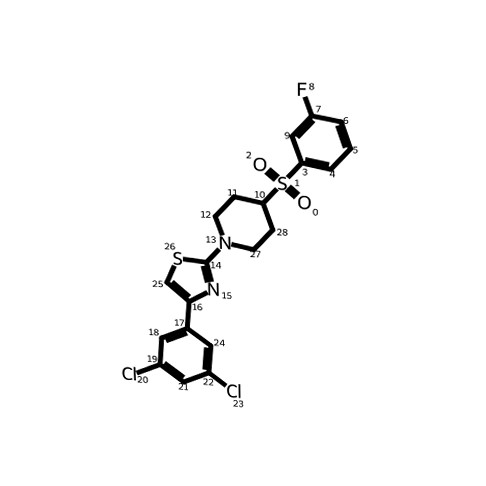 O=S(=O)(c1cccc(F)c1)C1CCN(c2nc(-c3cc(Cl)cc(Cl)c3)cs2)CC1